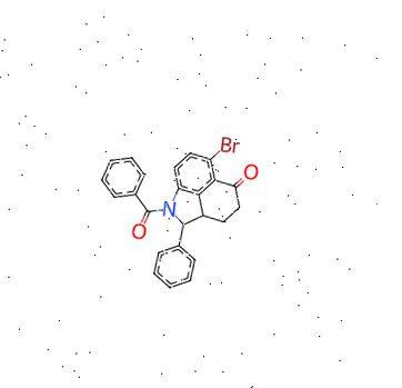 O=C1CCC2c3c(ccc(Br)c31)N(C(=O)c1ccccc1)C2c1ccccc1